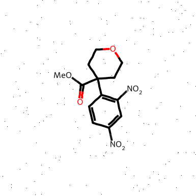 COC(=O)C1(c2ccc([N+](=O)[O-])cc2[N+](=O)[O-])CCOCC1